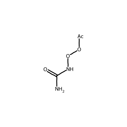 CC(=O)OONC(N)=O